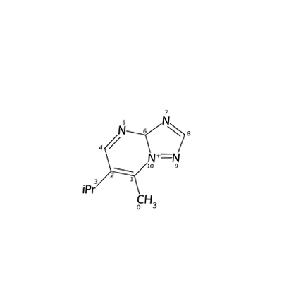 CC1=C(C(C)C)C=NC2N=CN=[N+]12